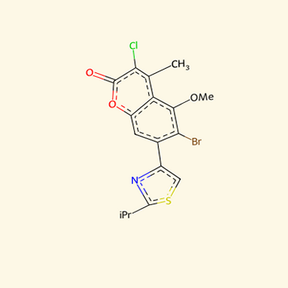 COc1c(Br)c(-c2csc(C(C)C)n2)cc2oc(=O)c(Cl)c(C)c12